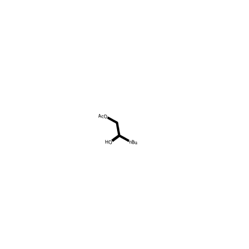 CCCCC(O)COC(C)=O